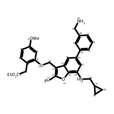 CCOC(=O)Cc1ccc(OC)cc1OCc1c(C(C)C)oc2c(NCC3CC3)cc(-c3cccc(CN)c3)cc12